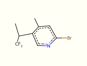 Cc1cc(Br)ncc1C(C)C(F)(F)F